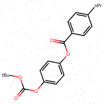 CCCc1ccc(C(=O)Oc2ccc(OC(=O)OC(C)(C)C)cc2)cc1